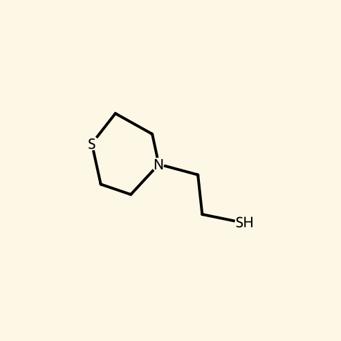 SCCN1CCSCC1